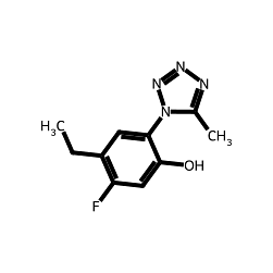 CCc1cc(-n2nnnc2C)c(O)cc1F